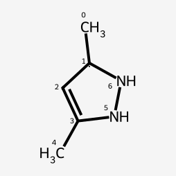 C[C]1C=C(C)NN1